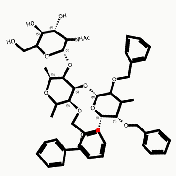 CC(=O)NC1[C@H](OC2[C@H](C)OC(C)[C@H](OCc3ccccc3)[C@@H]2O[C@H]2O[C@@H](COCc3ccccc3)[C@@H](OCc3ccccc3)C(C)C2OCc2ccccc2)OC(CO)[C@@H](O)[C@@H]1O